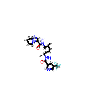 Cc1ccc([C@H](C)NC(=O)c2cncc(C(F)(F)F)c2)cc1NC(=O)c1cnc2ccccn12